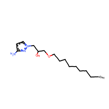 CCCCCCCCCCCCCCCCCCOCC(O)Cn1ccc(N)n1